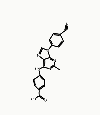 Cc1nc(Nc2ccc(C(=O)O)cc2)c2ncn(-c3ccc(C#N)cc3)c2n1